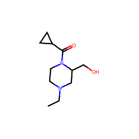 CCN1CCN(C(=O)C2CC2)C(CO)C1